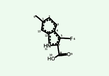 Cc1ccc2c(F)c(C(=O)O)[nH]c2c1